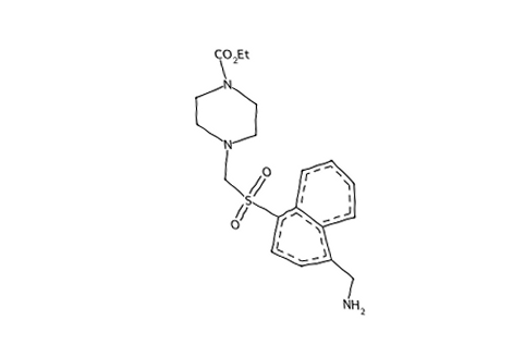 CCOC(=O)N1CCN(CS(=O)(=O)c2ccc(CN)c3ccccc23)CC1